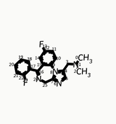 CN(C)Cc1cnc2n1-c1ccc(F)cc1C(c1ccccc1F)=NC2